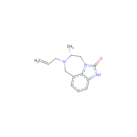 C=CCN1Cc2cccc3[nH]c(=O)n(c23)C[C@H]1C